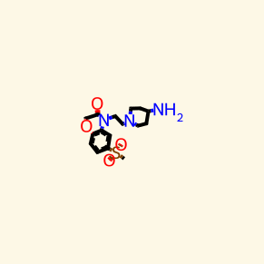 CS(=O)(=O)c1ccc2c(c1)N(CCN1CCC(N)CC1)C(=O)CO2